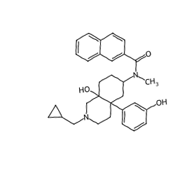 CN(C(=O)c1ccc2ccccc2c1)C1CCC2(O)CN(CC3CC3)CCC2(c2cccc(O)c2)C1